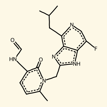 Cc1ccc(NC=O)c(=O)n1Cc1nc2c(CC(C)C)ncc(F)c2[nH]1